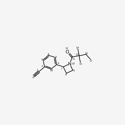 C#Cc1cccc(C2CCN2C(=O)C(C)(C)CC)c1